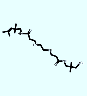 CC(C)=CC(C)(C)CNC(=O)CCNCCNCCC(=O)NCC(C)(C)CC(C)(C)C